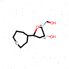 OC[C@H]1OC(C2CCCCCC2)C[C@H]1O